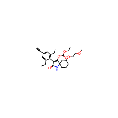 C#Cc1cc(CC)c(C2=C(OC(=O)OCC)C3(CCCC(OCCOC)C3)NC2=O)c(CC)c1